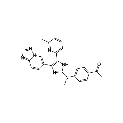 CC(=O)c1ccc(N(C)c2nc(-c3ccc4ncnn4c3)c(-c3cccc(C)n3)[nH]2)cc1